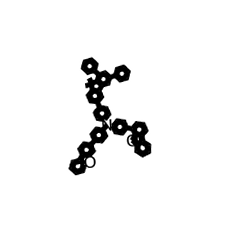 CC1(C)c2ccc(-c3ccc(N(c4ccc(-c5ccc6c(c5)oc5ccccc56)cc4)c4ccc(-c5cccc6c5oc5ccccc56)cc4)cc3)cc2-c2cc(-c3ccccc3)cc(-c3ccccc3)c21